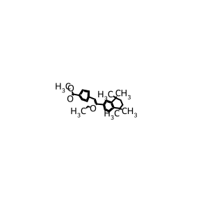 CCOC(=Cc1ccc(C(=O)OC)cc1)c1ccc2c(c1)C(C)(C)CCC2(C)C